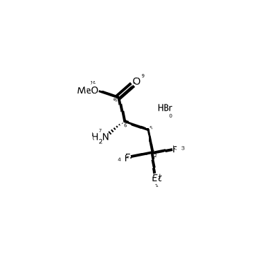 Br.CCC(F)(F)C[C@H](N)C(=O)OC